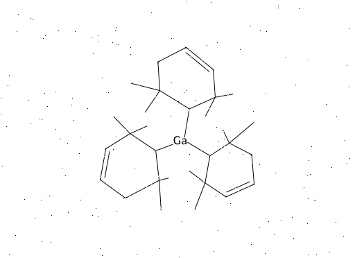 CC1(C)C=CCC(C)(C)[CH]1[Ga]([CH]1C(C)(C)C=CCC1(C)C)[CH]1C(C)(C)C=CCC1(C)C